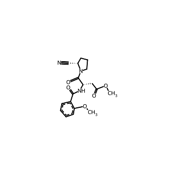 COC(=O)C[C@H](NC(=O)c1ccccc1OC)C(=O)N1CCC[C@H]1C#N